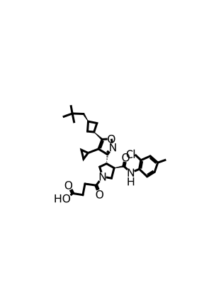 Cc1ccc(NC(=O)[C@H]2CN(C(=O)CCC(=O)O)C[C@@H]2c2noc([C@H]3C[C@@H](CC(C)(C)C)C3)c2C2CC2)c(Cl)c1